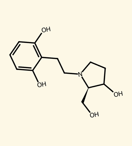 OC[C@@H]1C(O)CCN1CCc1c(O)cccc1O